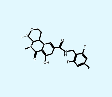 C[C@@H]1OCCC2C1N(C)C(=O)C1=C(O)CC(C(=O)NCc3c(F)cc(F)cc3F)=CN12